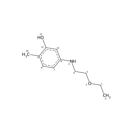 CCOCCNc1ccc(C)c(O)c1